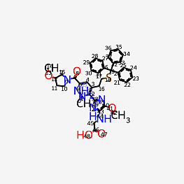 C=N/C(=C(\C=C(/N)C(=O)N1CCC(OC)C1)CCSC(c1ccccc1)(c1ccccc1)c1ccccc1)c1nc(OC)c(NCC(=O)O)[nH]1